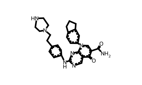 NC(=O)c1cn(-c2ccc3c(c2)CCC3)c2nc(Nc3ccc(CCN4CCNCC4)cc3)ncc2c1=O